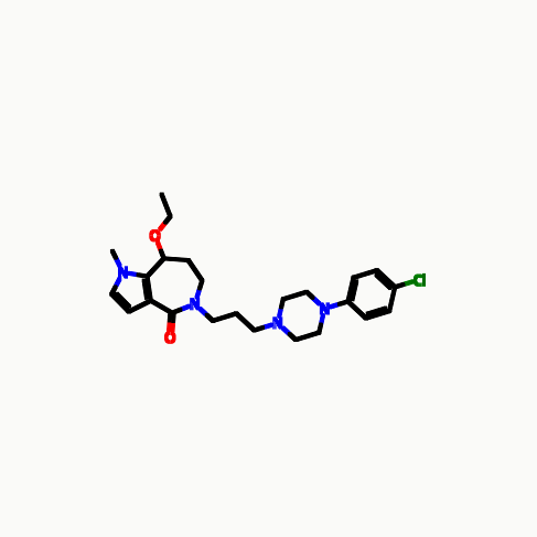 CCOC1CCN(CCCN2CCN(c3ccc(Cl)cc3)CC2)C(=O)c2ccn(C)c21